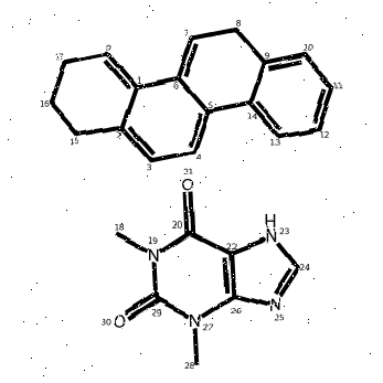 C1=c2c(ccc3c2=CCc2ccccc2-3)CCC1.Cn1c(=O)c2[nH]cnc2n(C)c1=O